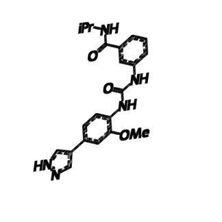 COc1cc(-c2cn[nH]c2)ccc1NC(=O)Nc1cccc(C(=O)NC(C)C)c1